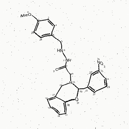 COc1ccc(CNNC(=O)CN2Cc3ccccc3OC2c2cccc([N+](=O)[O-])c2)cc1